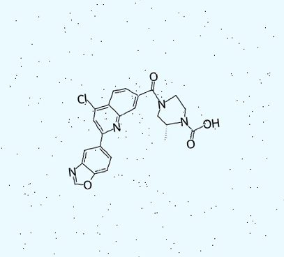 C[C@@H]1CN(C(=O)c2ccc3c(Cl)cc(-c4ccc5ocnc5c4)nc3c2)CCN1C(=O)O